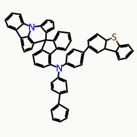 C1=CC2Sc3ccccc3C2C=C1c1ccc(N(c2ccc(-c3ccccc3)cc2)c2cccc3c2-c2ccccc2C32c3ccccc3-n3c4ccccc4c4cccc2c43)cc1